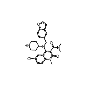 CN(C)C(=O)c1c(N(Cc2ccc3occc3c2)C2CCNCC2)c2cc(Cl)ccc2n(C)c1=O